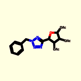 CC(=O)OC1OC(c2nnn(Cc3ccccc3)n2)C(OC(C)=O)C1OC(C)=O